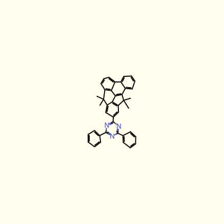 CC1(C)c2cc(-c3nc(-c4ccccc4)nc(-c4ccccc4)n3)cc3c2-c2c1c1ccccc1c1cccc(c21)C3(C)C